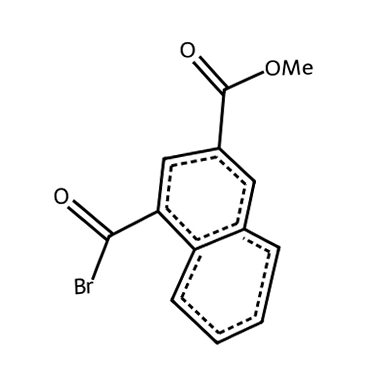 COC(=O)c1cc(C(=O)Br)c2ccccc2c1